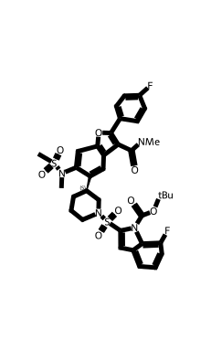 CNC(=O)c1c(-c2ccc(F)cc2)oc2cc(N(C)S(C)(=O)=O)c([C@@H]3CCCN(S(=O)(=O)c4cc5cccc(F)c5n4C(=O)OC(C)(C)C)C3)cc12